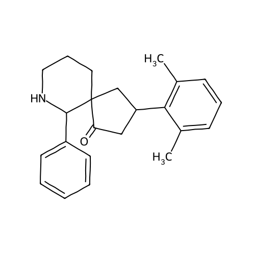 Cc1cccc(C)c1C1CC(=O)C2(CCCNC2c2ccccc2)C1